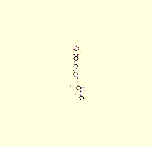 C=CC(=O)Nc1cc2c(Nc3ccc(F)c(Cl)c3)ncnc2cc1OCCCN1CCC(CN2CCC[C@H](Nc3ccc4c(c3)C(=O)N(C3CCC(=O)NC3=O)C4=O)C2)CC1